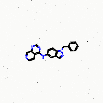 c1ccc(Cn2ncc3cc(Nc4ncnc5cnccc45)ccc32)cc1